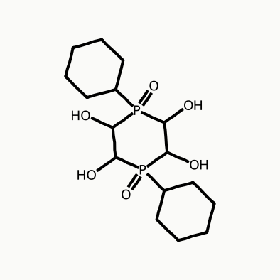 O=P1(C2CCCCC2)C(O)C(O)P(=O)(C2CCCCC2)C(O)C1O